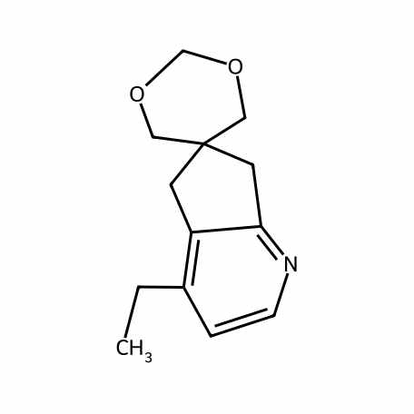 CCc1ccnc2c1CC1(COCOC1)C2